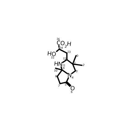 CC1(C)CN2C(=O)CCC2(C)NC1C[C@@H](O)C(=O)O